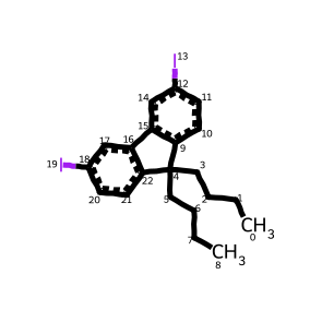 CCCCC1(CCCC)c2ccc(I)cc2-c2cc(I)ccc21